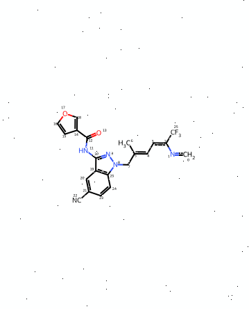 C=N/C(=C\C=C(/C)Cn1nc(NC(=O)c2ccoc2)c2cc(C#N)ccc21)C(F)(F)F